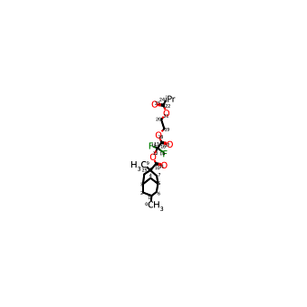 CC1CC2CC(C1)CC(C)(C(=O)OC(F)(F)C(=O)OCCOC(=O)C(C)C)C2